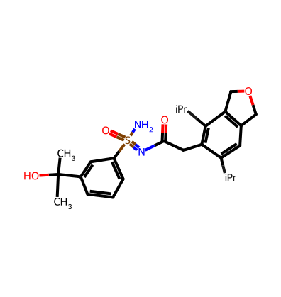 CC(C)c1cc2c(c(C(C)C)c1CC(=O)N=S(N)(=O)c1cccc(C(C)(C)O)c1)COC2